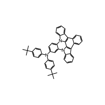 CC(C)(C)c1ccc(N(c2ccc(C(C)(C)C)cc2)c2ccc3c(c2)n2c4ccccc4c4c5ccccc5c5c6ccccc6n3c5c42)cc1